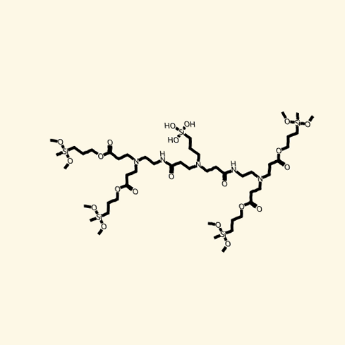 CO[Si](C)(CCCOC(=O)CCN(CCNC(=O)CCN(CCC[Si](O)(O)O)CCC(=O)NCCN(CCC(=O)OCCC[Si](C)(OC)OC)CCC(=O)OCCC[Si](C)(OC)OC)CCC(=O)OCCC[Si](C)(OC)OC)OC